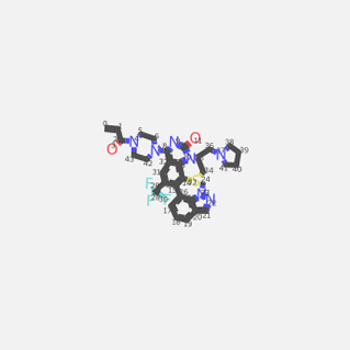 C=CC(=O)N1CCN(c2nc(=O)n3c4c(c(-c5cccc6cnn(C)c56)c(C(F)(F)F)cc24)SCC3CN2CCCC2)CC1